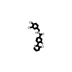 O=C(NCc1ccc(Cl)c(Cl)c1)c1ccc(-c2ncccc2Cl)c(F)c1